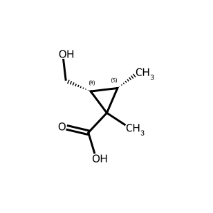 C[C@H]1[C@@H](CO)C1(C)C(=O)O